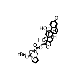 C[C@@H]1C[C@H]2[C@@H]3CCC4=CC(=O)C=C[C@]4(C)[C@@]3(F)[C@@H](O)C[C@]2(C)[C@@]1(O)C(=O)COC(=O)N(C)C[C@@H]1CCCN1C(=O)OC(C)(C)C